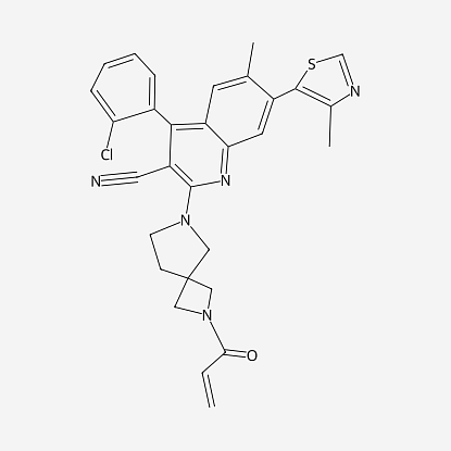 C=CC(=O)N1CC2(CCN(c3nc4cc(-c5scnc5C)c(C)cc4c(-c4ccccc4Cl)c3C#N)C2)C1